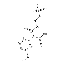 COc1cccc(C(C(=O)O)C(=O)OCCS(C)(=O)=O)c1